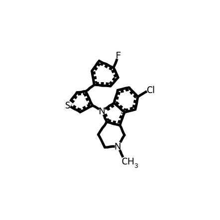 CN1CCc2c(c3cc(Cl)ccc3n2-c2cscc2-c2ccc(F)cc2)C1